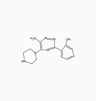 Nc1nnc(-c2ccccc2O)nc1N1CCNCC1